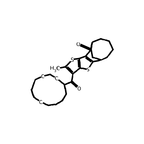 Cc1sc2c3c(sc2c1C(=O)C1CCCCCCCCCCC1)C1CCCCC(CC1)C3=O